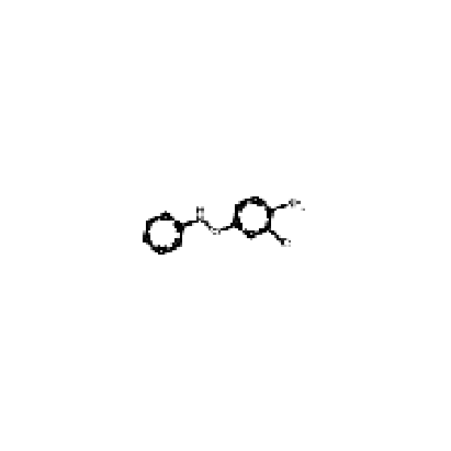 CCc1cc(ONc2ccccc2)ccc1N